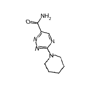 NC(=O)c1cnc(N2CCCCC2)nn1